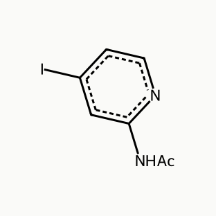 CC(=O)Nc1cc(I)ccn1